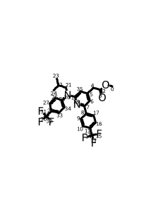 COC(=O)Cc1cc(-c2ccc(C(F)(F)F)cc2)nc(N(CC(C)C)c2ccc(C(F)(F)F)cc2)c1